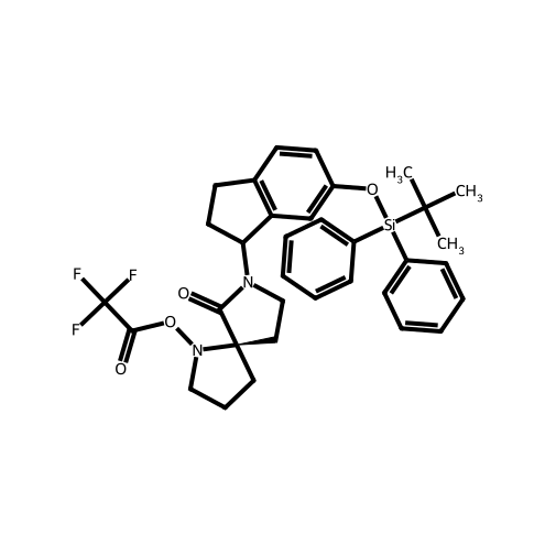 CC(C)(C)[Si](Oc1ccc2c(c1)C(N1CC[C@]3(CCCN3OC(=O)C(F)(F)F)C1=O)CC2)(c1ccccc1)c1ccccc1